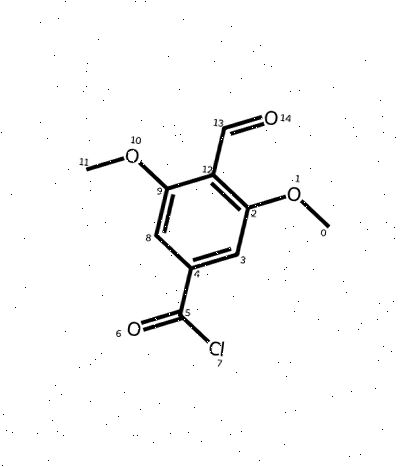 COc1cc(C(=O)Cl)cc(OC)c1C=O